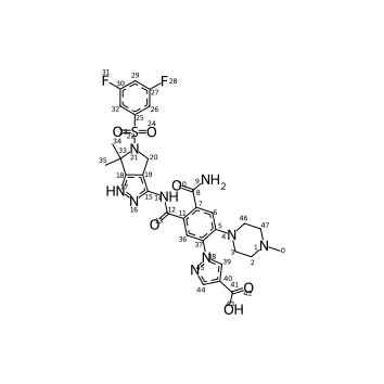 CN1CCN(c2cc(C(N)=O)c(C(=O)Nc3n[nH]c4c3CN(S(=O)(=O)c3cc(F)cc(F)c3)C4(C)C)cc2-n2cc(C(=O)O)cn2)CC1